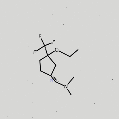 CCOC1(C(F)(F)F)CC/C(=C/N(C)C)C1